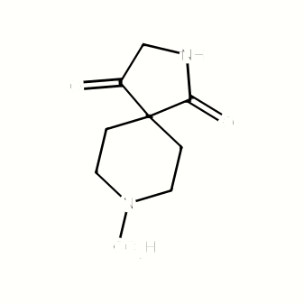 O=C(O)N1CCC2(CC1)C(=O)CNC2=O